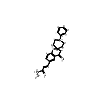 O=C(/C=C/c1ccc2c(c1)C(=O)CC1(CCN(c3ccccc3)CC1)O2)NO